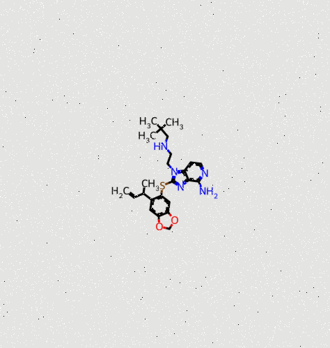 C=CC(C)c1cc2c(cc1Sc1nc3c(N)nccc3n1CCNCC(C)(C)C)OCO2